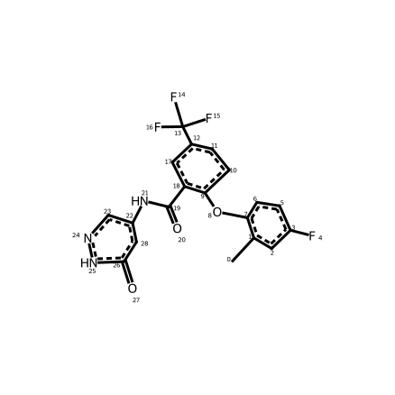 Cc1cc(F)ccc1Oc1ccc(C(F)(F)F)cc1C(=O)Nc1cn[nH]c(=O)c1